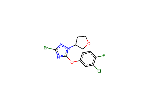 Fc1ccc(Oc2nc(Br)nn2C2CCOC2)cc1Cl